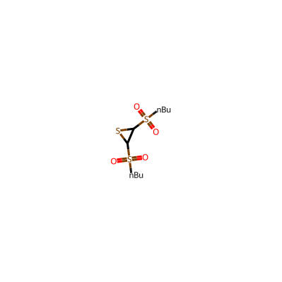 CCCCS(=O)(=O)C1SC1S(=O)(=O)CCCC